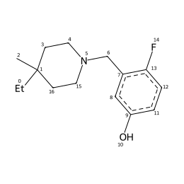 CCC1(C)CCN(Cc2cc(O)ccc2F)CC1